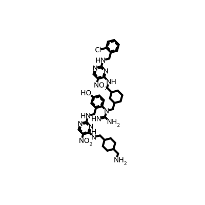 N=C(N)N(CC1CCCC(CNc2nc(NCc3ccccc3Cl)ncc2[N+](=O)[O-])C1)c1ccc(O)cc1CNc1ncc([N+](=O)[O-])c(NCC2CCC(CN)CC2)n1